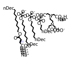 CCCCCCCCCCCCCCCCCCOC(=O)/C=C/C(=O)[O-].CCCCCCCCCCCCCCCCCCOS(=O)(=O)[O-].CCCCCCCCCCCCCCCCOS(=O)(=O)[O-].CCCCCCCCCCCCOS(=O)(=O)[O-].O=C([O-])CN(CCN(CC(=O)[O-])CC(=O)O)CC(=O)O.[Na+].[Na+].[Na+].[Na+].[Na+].[Na+]